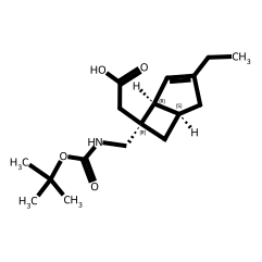 CCC1=C[C@H]2[C@@H](C1)C[C@@]2(CNC(=O)OC(C)(C)C)CC(=O)O